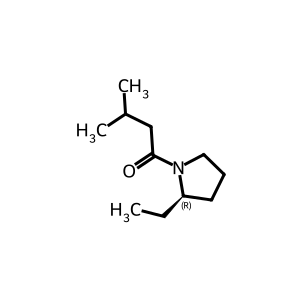 CC[C@@H]1CCCN1C(=O)CC(C)C